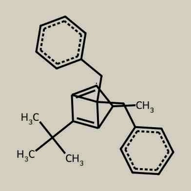 CC1[C]=C2C(C(C)(C)C)=C1C2(Cc1ccccc1)Cc1ccccc1